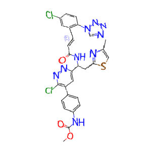 COC(=O)Nc1ccc(-c2cc(C(Cc3nc(C)cs3)NC(=O)/C=C/c3cc(Cl)ccc3-n3cnnn3)nnc2Cl)cc1